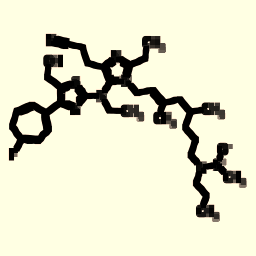 CCCN(CCCC(C)C/C(C)=C/Cn1c(CC)nc(CCC#N)c1N(CC)c1nc(C2=CC=C(F)CC=C2)c(CO)s1)[S+](C)[O-]